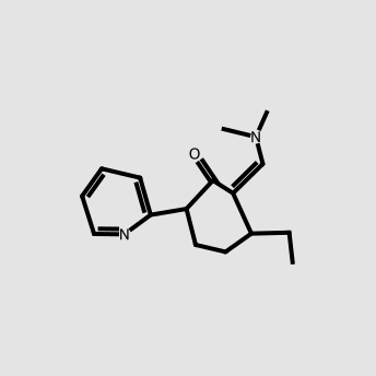 CCC1CCC(c2ccccn2)C(=O)C1=CN(C)C